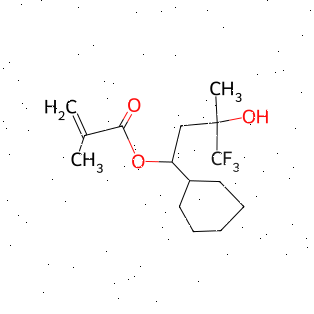 C=C(C)C(=O)OC(CC(C)(O)C(F)(F)F)C1CCCCC1